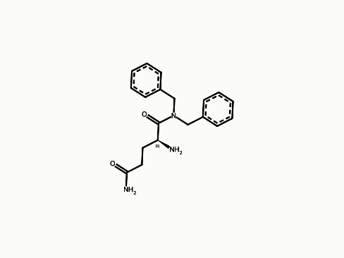 NC(=O)CC[C@H](N)C(=O)N(Cc1ccccc1)Cc1ccccc1